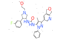 COCCN1CC(NC(=O)Nc2c(C)c(-c3cnc4c(c3)COC4)nn2-c2ccccc2)C(c2cccc(F)c2)C1